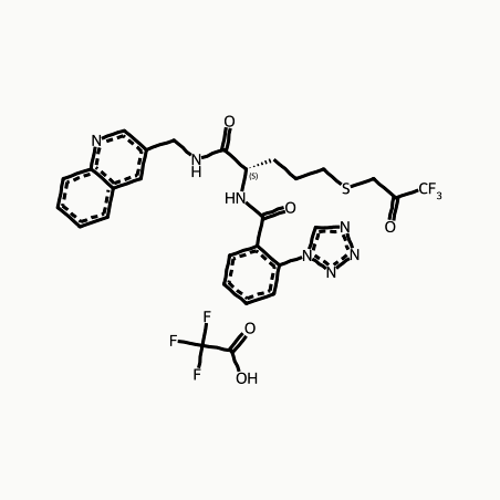 O=C(N[C@@H](CCCSCC(=O)C(F)(F)F)C(=O)NCc1cnc2ccccc2c1)c1ccccc1-n1cnnn1.O=C(O)C(F)(F)F